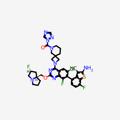 N#Cc1c(N)sc2c(F)ccc(-c3c(Cl)cc4c(N5CC6(CCCN(C(=O)n7cncn7)C6)C5)nc(OC[C@@]56CCCN5C[C@H](F)C6)nc4c3F)c12